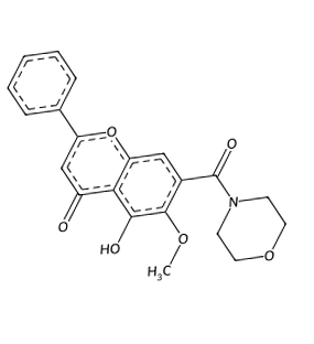 COc1c(C(=O)N2CCOCC2)cc2oc(-c3ccccc3)cc(=O)c2c1O